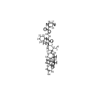 CC[C@@H]1C[C@H](NC(=O)N(CCOC(=O)c2cnccn2)C2CCCCC2)CC[C@]1(C)[C@H]1CC[C@@]2(C)[C@H](C1)C[C@@H]1O[C@]3(CC[C@H](C)CO3)[C@@H](C)[C@@H]12